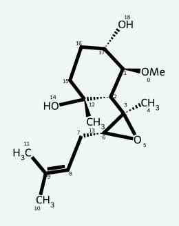 CO[C@H]1[C@H]([C@@]2(C)O[C@@H]2CC=C(C)C)[C@](C)(O)CC[C@@H]1O